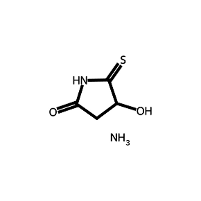 N.O=C1CC(O)C(=S)N1